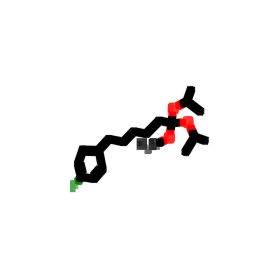 CC(C)OC(CCCCCc1ccc(F)cc1)(O[SiH3])OC(C)C